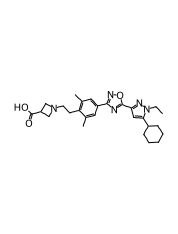 CCn1nc(-c2nc(-c3cc(C)c(CCN4CC(C(=O)O)C4)c(C)c3)no2)cc1C1CCCCC1